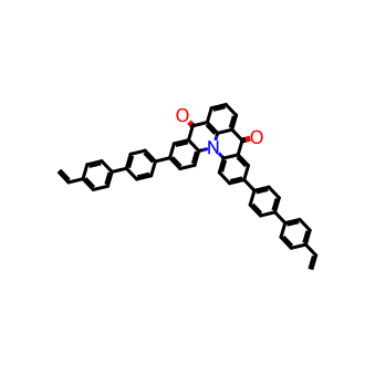 C=Cc1ccc(-c2ccc(-c3ccc4c(c3)c(=O)c3cccc5c(=O)c6cc(-c7ccc(-c8ccc(C=C)cc8)cc7)ccc6n4c35)cc2)cc1